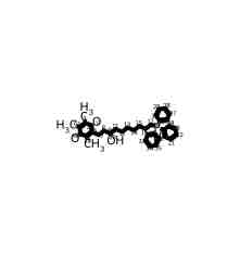 CC1=C(C)C(=O)C(CCC(O)CCCCCCC[PH](c2ccccc2)(c2ccccc2)c2ccccc2)=C(C)C1=O